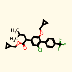 CC(C)CC(C(=O)OCC1CC1)c1cc(Cl)c(-c2ccc(C(F)(F)F)cc2)c(OCC2CC2)c1